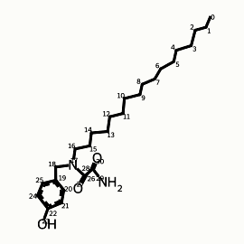 CCCCCCCCCCCCCCCCCN(Cc1ccc(O)cc1)C(=O)C(N)=O